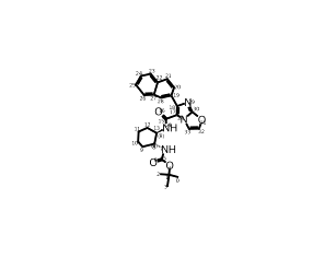 CC(C)(C)OC(=O)N[C@@H]1CCCC[C@H]1NC(=O)c1c(-c2ccc3ccccc3c2)nc2occn12